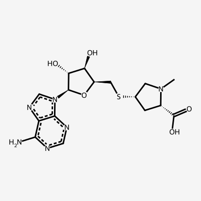 CN1C[C@@H](SC[C@H]2O[C@@H](n3cnc4c(N)ncnc43)[C@H](O)[C@H]2O)C[C@H]1C(=O)O